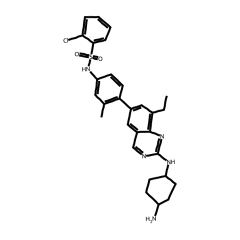 CCc1cc(-c2ccc(NS(=O)(=O)c3ccccc3Cl)cc2C)cc2cnc(NC3CCC(N)CC3)nc12